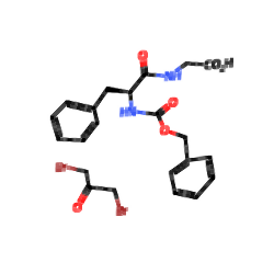 O=C(CBr)CBr.O=C(O)CNC(=O)[C@H](Cc1ccccc1)NC(=O)OCc1ccccc1